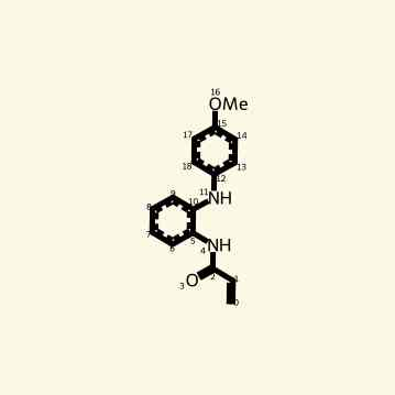 C=CC(=O)Nc1ccccc1Nc1ccc(OC)cc1